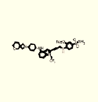 COc1cc(S(N)(=O)=O)ccc1NCC#Cc1cc2c(N[C@H]3CC[C@@H](N4CC5(CCCOC5)C4)CC3)cccc2n1CC(F)(F)F